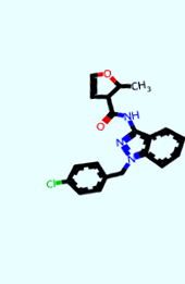 CC1OC=CC1C(=O)Nc1nn(Cc2ccc(Cl)cc2)c2ccccc12